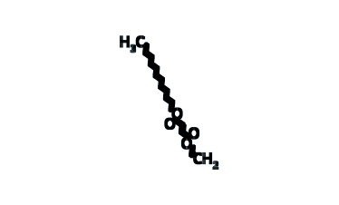 C=CCOC(=O)C=CC(=O)OCCCCCCCCCCCCC